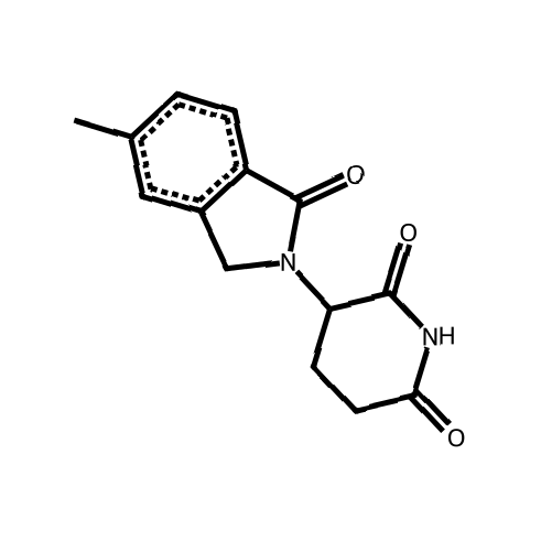 Cc1ccc2c(c1)CN(C1CCC(=O)NC1=O)C2=O